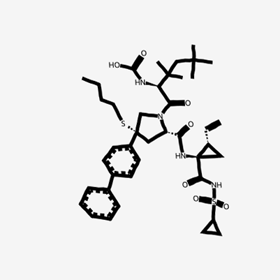 C=C[C@@H]1C[C@]1(NC(=O)[C@@H]1C[C@@](SCCCC)(c2ccc(-c3ccccc3)cc2)CN1C(=O)[C@@H](NC(=O)O)C(C)(C)CC(C)(C)C)C(=O)NS(=O)(=O)C1CC1